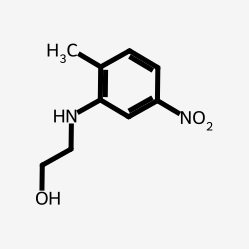 Cc1ccc([N+](=O)[O-])cc1NCCO